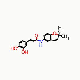 CC1(C)C=Cc2cc(NC(=O)/C=C/c3ccc(O)c(O)c3)ccc2O1